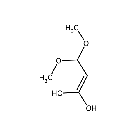 COC(C=C(O)O)OC